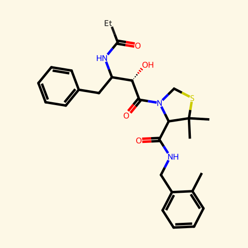 CCC(=O)NC(Cc1ccccc1)[C@H](O)C(=O)N1CSC(C)(C)C1C(=O)NCc1ccccc1C